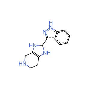 c1ccc2c(C3NC4=C(CNCC4)N3)n[nH]c2c1